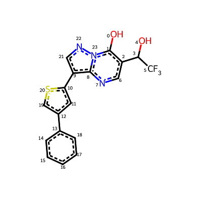 Oc1c(C(O)C(F)(F)F)cnc2c(-c3cc(-c4ccccc4)cs3)cnn12